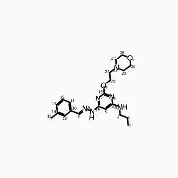 CCCNc1cc(N/N=C/c2cccc(C)c2)nc(OCCN2CCOCC2)n1